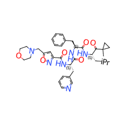 CC(C)C[C@H](NC(=O)[C@H](Cc1ccccc1)NC(=O)[C@H](Cc1cccnc1)NC(=O)c1cc(CN2CCOCC2)on1)C(=O)C1(C)CC1